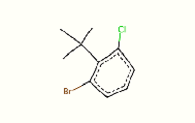 CC(C)(C)c1c(Cl)cccc1Br